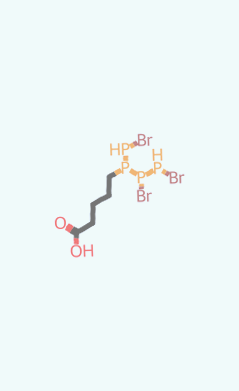 O=C(O)CCCCP(PBr)P(Br)PBr